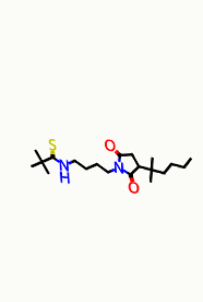 CCCCC(C)(C)C1CC(=O)N(CCCCNC(=S)C(C)(C)C)C1=O